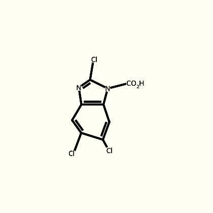 O=C(O)n1c(Cl)nc2cc(Cl)c(Cl)cc21